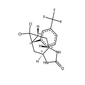 O=C1N[C@H]2C[C@H]3C(Cl)(Cl)[C@@]3(c3cccc(C(F)(F)F)c3)C[C@@H]2N1